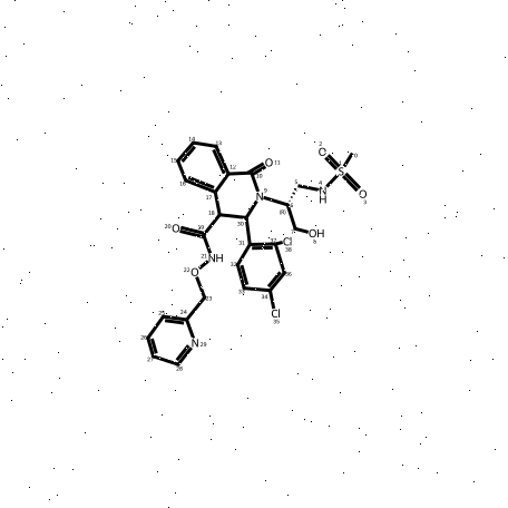 CS(=O)(=O)NC[C@H](CO)N1C(=O)c2ccccc2C(C(=O)NOCc2ccccn2)C1c1ccc(Cl)cc1Cl